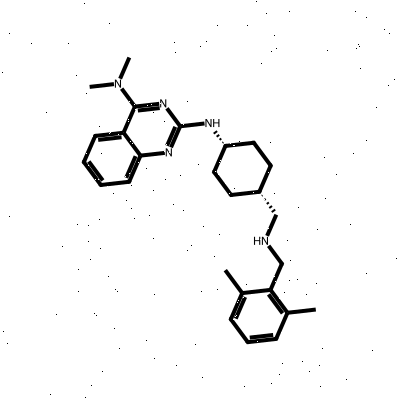 Cc1cccc(C)c1CNC[C@H]1CC[C@@H](Nc2nc(N(C)C)c3ccccc3n2)CC1